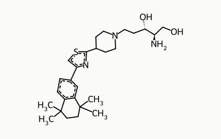 CC1(C)CCC(C)(C)c2cc(-c3csc(C4CCN(CC[C@H](O)[C@H](N)CO)CC4)n3)ccc21